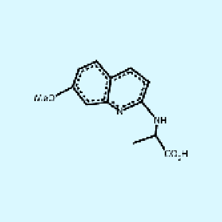 COc1ccc2ccc(NC(C)C(=O)O)nc2c1